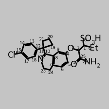 CCC(C(Oc1ccc2c(c1)C(C1(c3ccc(Cl)cc3)CCC1)=NCC2)C(N)=O)S(=O)(=O)O